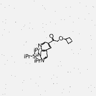 CC(C)[Si](C(C)C)(C(C)C)n1ncc2cc(C(=O)COC3CCC3)cnc21